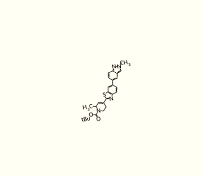 CC1C=C(c2nc3ccc(-c4ccc5nn(C)cc5c4)cc3s2)CCN1C(=O)OC(C)(C)C